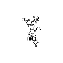 N#Cc1cc(S(=O)(=O)Nc2nccs2)ccc1Oc1cnc(Cl)cc1-c1ccoc1